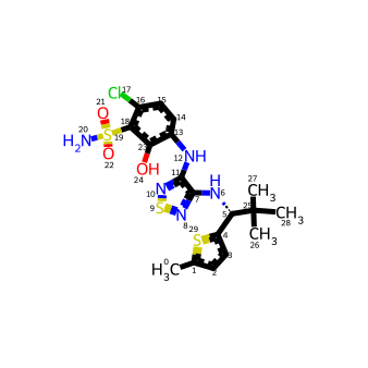 Cc1ccc([C@H](Nc2nsnc2Nc2ccc(Cl)c(S(N)(=O)=O)c2O)C(C)(C)C)s1